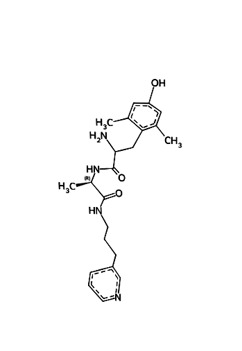 Cc1cc(O)cc(C)c1CC(N)C(=O)N[C@H](C)C(=O)NCCCc1cccnc1